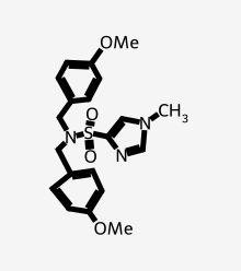 COc1ccc(CN(Cc2ccc(OC)cc2)S(=O)(=O)c2cn(C)cn2)cc1